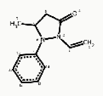 C=CN1C(=O)CC(C)N1c1ccccc1